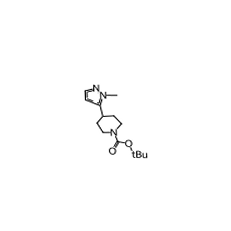 Cn1nccc1C1CCN(C(=O)OC(C)(C)C)CC1